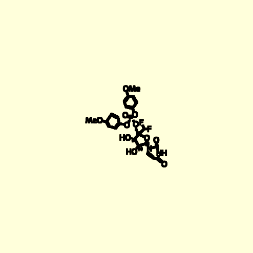 COc1ccc(OP(=O)(OC[C@@]2(C(F)F)O[C@@H](n3ccc(=O)[nH]c3=O)[C@@H](O)[C@@H]2O)Oc2ccc(OC)cc2)cc1